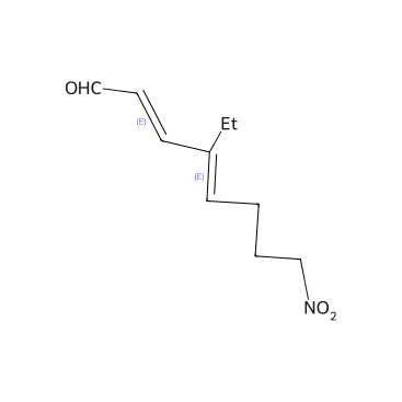 CCC(/C=C/C=O)=C\CCC[N+](=O)[O-]